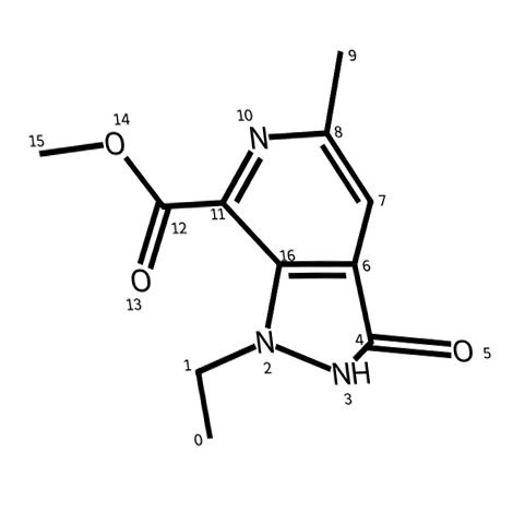 CCn1[nH]c(=O)c2cc(C)nc(C(=O)OC)c21